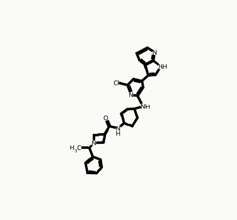 CC(c1ccccc1)N1CC(C(=O)NC2CCC(Nc3cc(-c4c[nH]c5ncccc45)cc(Cl)n3)CC2)C1